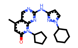 Cc1cc(=O)n(C2CCCC2)c2nc(Nc3ccn(C4CCCCC4)n3)ncc12